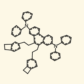 c1ccc(N(c2ccccc2)c2ccc3c(c2)c(CCc2ccc4c(c2)CC4)c(CCc2ccc4c(c2)CC4)c2cc(N(c4ccccc4)c4ccccc4)ccc23)cc1